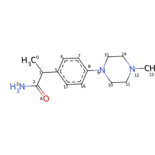 CC(C(N)=O)c1ccc(N2CCN(C)CC2)cc1